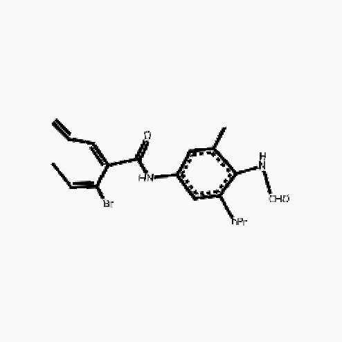 C=C/C=C(C(=O)Nc1cc(C)c(NC=O)c(CCC)c1)\C(Br)=C/C